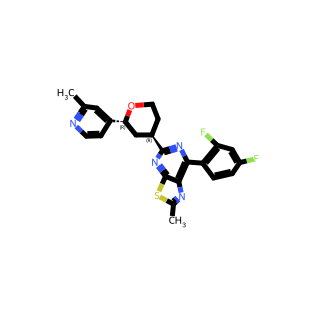 Cc1cc([C@H]2C[C@H](c3nc(-c4ccc(F)cc4F)c4nc(C)sc4n3)CCO2)ccn1